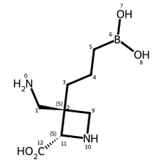 NC[C@@]1(CCCB(O)O)CN[C@@H]1C(=O)O